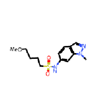 COCCCCS(=O)(=O)Nc1ccc2cnn(C)c2c1